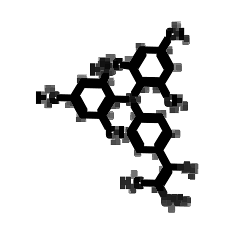 CO/C(C)=C(\C(C)=O)c1ccc(B(c2c(C)cc(C)cc2C)c2c(C)cc(C)cc2C)cc1